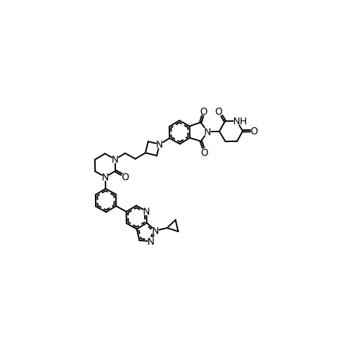 O=C1CCC(N2C(=O)c3ccc(N4CC(CCN5CCCN(c6cccc(-c7cnc8c(cnn8C8CC8)c7)c6)C5=O)C4)cc3C2=O)C(=O)N1